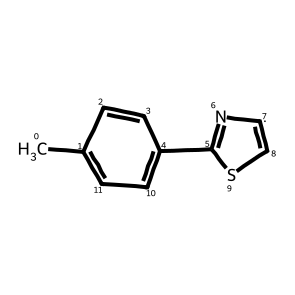 Cc1ccc(-c2n[c]cs2)cc1